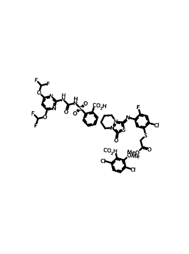 COC(=O)CSc1cc(/N=c2\sc(=O)n3n2CCCC3)c(F)cc1Cl.COc1c(Cl)ccc(Cl)c1C(=O)O.O=C(Nc1nc(OC(F)F)cc(OC(F)F)n1)NS(=O)(=O)c1ccccc1C(=O)O